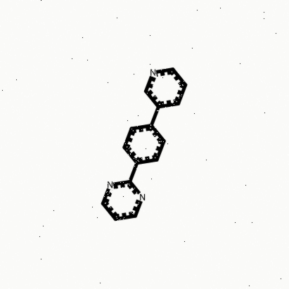 c1cnc(-c2ccc(-c3cccnc3)cc2)nc1